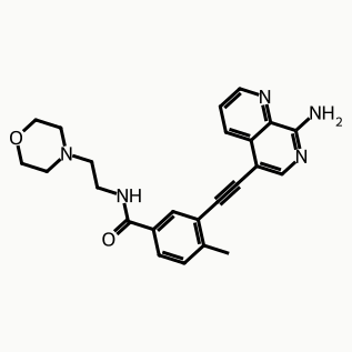 Cc1ccc(C(=O)NCCN2CCOCC2)cc1C#Cc1cnc(N)c2ncccc12